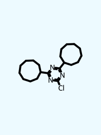 Clc1nc(C2CCCCCCCC2)nc(C2CCCCCCCC2)n1